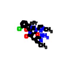 CCC[C@@H](NC(=O)N1C(=O)[C@H](Cc2cc(C)nc(N)c2)[C@H]1C(=O)N(C)c1ccn(C)n1)c1cccc(Cl)c1